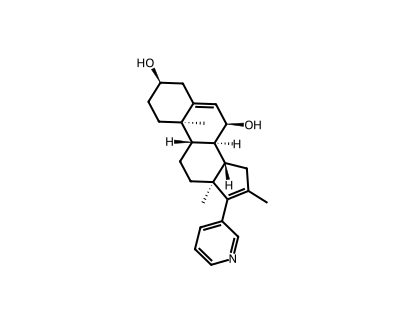 CC1=C(c2cccnc2)[C@@]2(C)CC[C@H]3[C@@H]([C@H](O)C=C4C[C@H](O)CC[C@@]43C)[C@@H]2C1